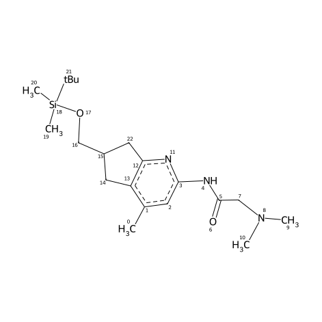 Cc1cc(NC(=O)CN(C)C)nc2c1CC(CO[Si](C)(C)C(C)(C)C)C2